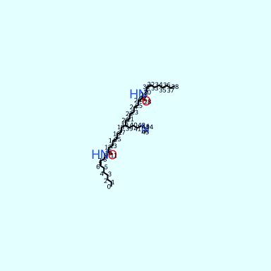 CCCCCC/C=C\CNC(=O)CCCCCCCC(CCCCCCCC(=O)NC/C=C\CCCCCC)CCCCN(C)C